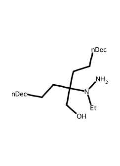 CCCCCCCCCCCCC(CO)(CCCCCCCCCCCC)N(N)CC